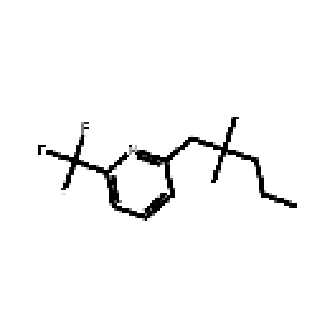 CCCC(C)(C)Cc1cccc(C(F)(F)F)n1